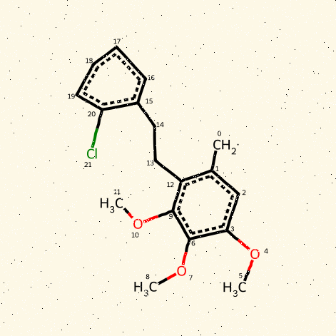 [CH2]c1cc(OC)c(OC)c(OC)c1CCc1ccccc1Cl